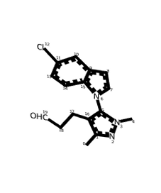 Cc1nn(C)c(-n2ccc3cc(Cl)ccc32)c1CCC=O